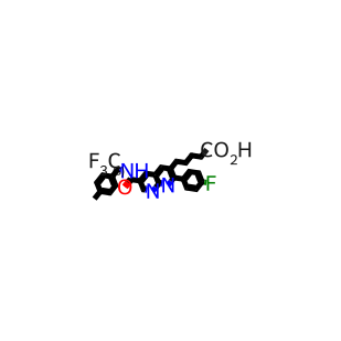 Cc1ccc([C@H](NC(=O)c2cnc3nc(-c4ccc(F)cc4)c(CCCCC(=O)O)cc3c2)C(F)(F)F)cc1